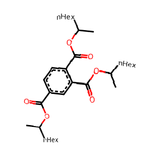 CCCCCCC(C)OC(=O)c1ccc(C(=O)OC(C)CCCCCC)c(C(=O)OC(C)CCCCCC)c1